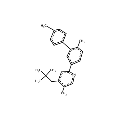 Cc1ccc(-c2cc(-c3cc(CC(C)(C)C)c(C)cn3)ccc2C)cc1